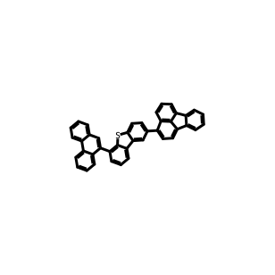 c1ccc2c(c1)-c1cccc3c(-c4ccc5sc6c(-c7cc8ccccc8c8ccccc78)cccc6c5c4)ccc-2c13